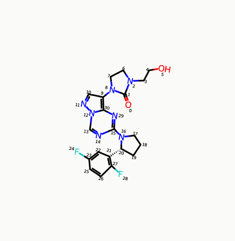 O=C1N(CCO)CCN1c1cnn2cnc(N3CCC[C@@H]3c3cc(F)ccc3F)nc12